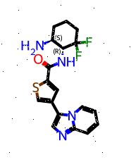 N[C@H]1CCCC(F)(F)[C@@H]1NC(=O)c1cc(-c2cnc3ccccn23)cs1